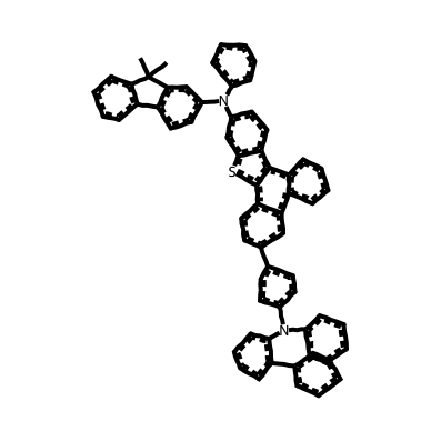 CC1(C)c2ccccc2-c2ccc(N(c3ccccc3)c3ccc4c(c3)sc3c5ccc(-c6ccc(N(c7ccccc7)c7ccccc7-c7ccccc7)cc6)cc5c5ccccc5c43)cc21